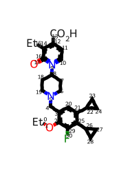 CCOc1c(CN2CCC(n3ccc(C(=O)O)c(CC)c3=O)CC2)cc(C2CC2)c(C2CC2)c1F